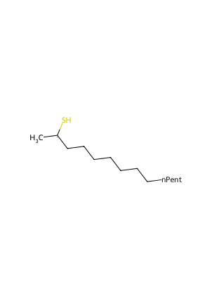 CCCCCCCCCCCC[C](C)S